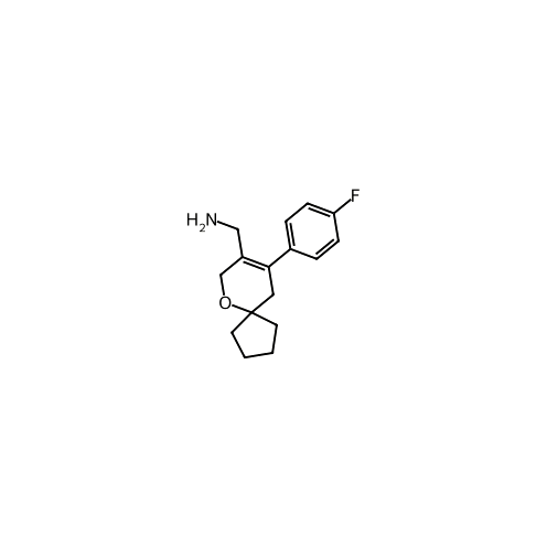 NCC1=C(c2ccc(F)cc2)CC2(CCCC2)OC1